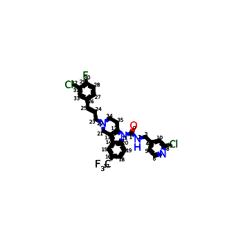 O=C(NCc1ccnc(Cl)c1)n1c2c(c3cc(C(F)(F)F)ccc31)CN(CC=Cc1ccc(F)c(Cl)c1)CC2